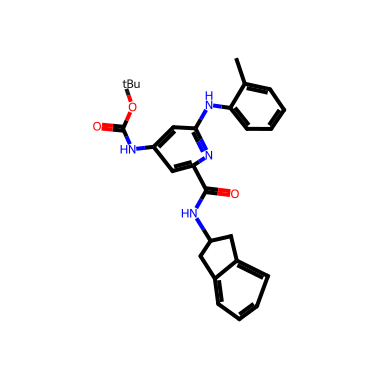 Cc1ccccc1Nc1cc(NC(=O)OC(C)(C)C)cc(C(=O)NC2Cc3ccccc3C2)n1